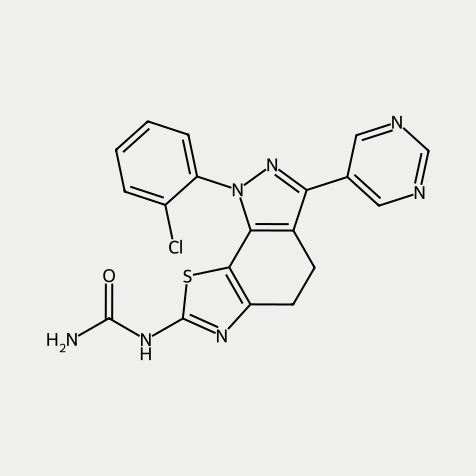 NC(=O)Nc1nc2c(s1)-c1c(c(-c3cncnc3)nn1-c1ccccc1Cl)CC2